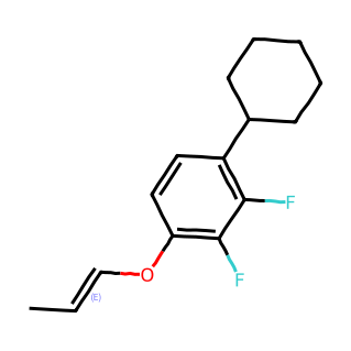 C/C=C/Oc1ccc(C2CCCCC2)c(F)c1F